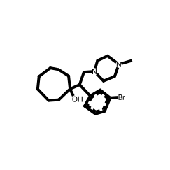 CN1CCN(CC(c2cccc(Br)c2)C2(O)CCCCCCC2)CC1